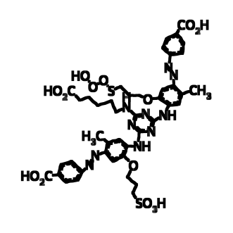 Cc1cc(Nc2nc(NCCCCCC(=O)O)nc(Nc3cc(C)c(N=Nc4ccc(C(=O)O)cc4)cc3OCCCS(=O)(=O)O)n2)c(OCCCSOOO)cc1N=Nc1ccc(C(=O)O)cc1